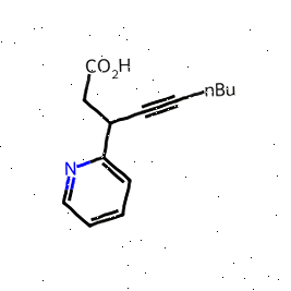 CCCCC#CC(CC(=O)O)c1ccccn1